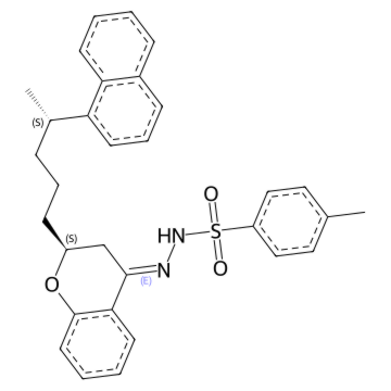 Cc1ccc(S(=O)(=O)N/N=C2\C[C@H](CCC[C@H](C)c3cccc4ccccc34)Oc3ccccc32)cc1